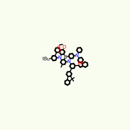 Cc1cc2c3c(c1)N(c1ccc(C(C)(C)C)cc1-c1ccccc1)c1cc4c(cc1B3c1ccc(N(c3ccccc3)c3ccccc3)cc1N2c1cc(-c2ccc3c(c2)C(C)(C)c2ccccc2-3)cc(-c2cc3ccccc3o2)c1)OCCO4